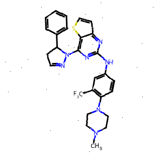 CN1CCN(c2ccc(Nc3nc(N4N=CCC4c4ccccc4)c4sccc4n3)cc2C(F)(F)F)CC1